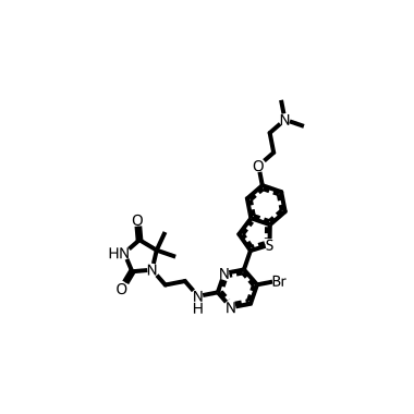 CN(C)CCOc1ccc2sc(-c3nc(NCCN4C(=O)NC(=O)C4(C)C)ncc3Br)cc2c1